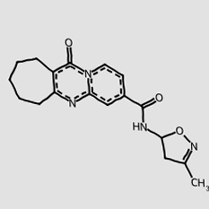 CC1=NOC(NC(=O)c2ccn3c(=O)c4c(nc3c2)CCCCC4)C1